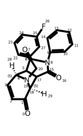 O=C1C=C[C@H]2C3C(=O)N(c4ccccc4)C(=O)C3[C@@H]1N2Cc1cccc(F)c1